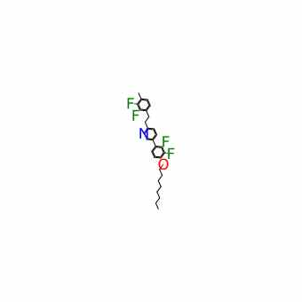 CCCCCCCCOc1ccc(-c2ccc(CCc3ccc(C)c(F)c3F)nc2)c(F)c1F